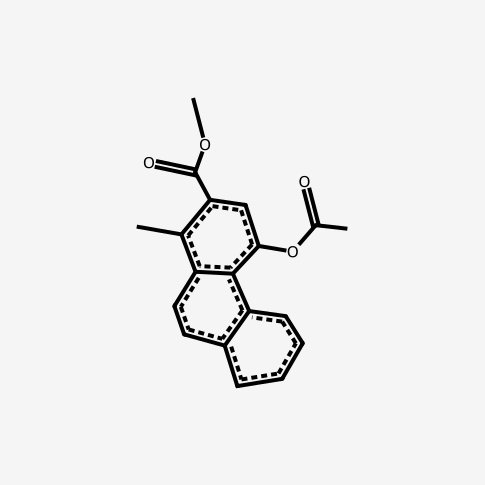 COC(=O)c1cc(OC(C)=O)c2c(ccc3ccccc32)c1C